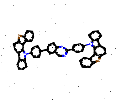 c1ccc2c(c1)sc1ccc3c4ccccc4n(-c4ccc(-c5ccc6nc(-c7ccc(-n8c9ccccc9c9ccc%10sc%11ccccc%11c%10c98)cc7)ncc6c5)cc4)c3c12